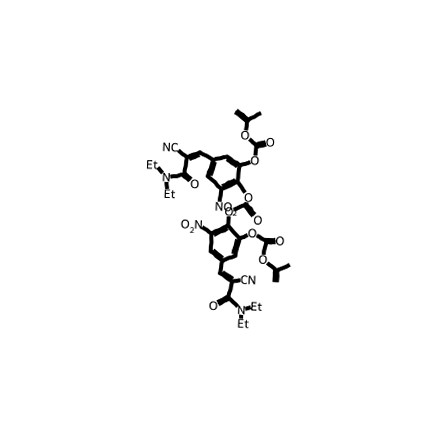 C=C(C)OC(=O)Oc1cc(C=C(C#N)C(=O)N(CC)CC)cc([N+](=O)[O-])c1OC(=O)Oc1c(OC(=O)OC(=C)C)cc(C=C(C#N)C(=O)N(CC)CC)cc1[N+](=O)[O-]